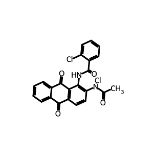 CC(=O)N(Cl)c1ccc2c(c1NC(=O)c1ccccc1Cl)C(=O)c1ccccc1C2=O